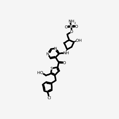 NS(=O)(=O)OCC1C[C@@H](Nc2ncncc2C(=O)c2cc(Cc3cccc(Cl)c3)c(CO)s2)C[C@@H]1O